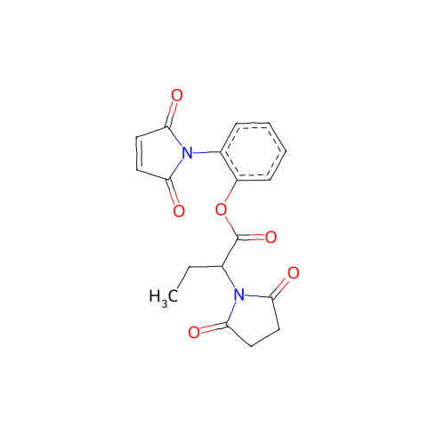 CCC(C(=O)Oc1ccccc1N1C(=O)C=CC1=O)N1C(=O)CCC1=O